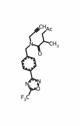 C#CCN(Cc1ccc(-c2noc(C(F)(F)F)n2)cc1)C(=O)C(C)CC(C)=O